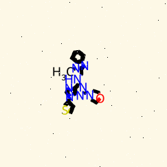 Cn1c(CNc2nc(N3CCOCC3)nc3c2ncn3-c2ccsc2)nc2ccccc21